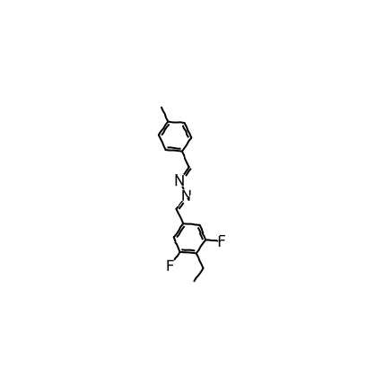 CCc1c(F)cc(/C=N/N=C/c2ccc(C)cc2)cc1F